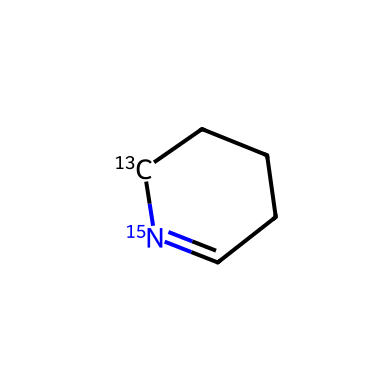 C1=[15N][13CH2]CCC1